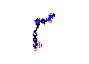 Cc1cc(-c2ncnn3cc(CCCCN4CCC(c5ccc(N6CCC(=O)NC6=O)cc5)CC4)cc23)ccc1CNC(=O)c1noc(C(C)(C)C)n1